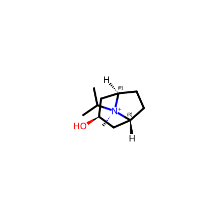 CC(C)[N@+]1(C)[C@@H]2CC[C@@H]1C[C@H](O)C2